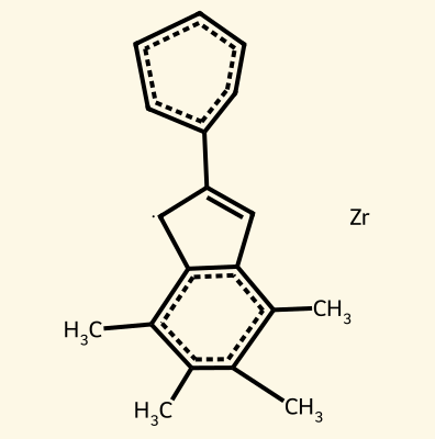 Cc1c(C)c(C)c2c(c1C)[CH]C(c1ccccc1)=C2.[Zr]